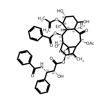 C=C(C)O[C@@]1(CC)[C@H](O)CC(O)[C@@]2(C)C(=O)[C@H](OC(C)=O)C3C(C)[C@@H](OC(=O)[C@H](O)[C@@H](NC(=O)c4ccccc4)c4ccccc4)C[C@@](O)([C@@H](OC(=O)c4ccccc4)[C@H]12)C3(C)C